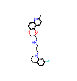 Cc1ccc2c3c(ccc2n1)OCC(CNCCCN1CCCc2ccc(F)cc21)O3